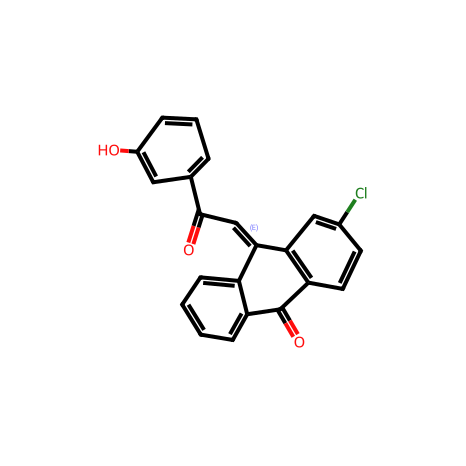 O=C(/C=C1\c2ccccc2C(=O)c2ccc(Cl)cc21)c1cccc(O)c1